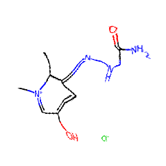 CC1C(=NNC(N)=O)C=C(O)C=[N+]1C.[Cl-]